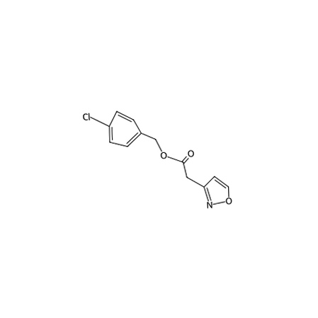 O=C(Cc1ccon1)OCc1ccc(Cl)cc1